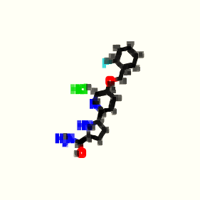 Cl.NC(=O)[C@@H]1CC[C@H](c2ccc(OCc3ccccc3F)cn2)N1